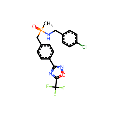 CP(=O)(Cc1ccc(-c2noc(C(F)(F)F)n2)cc1)NCc1ccc(Cl)cc1